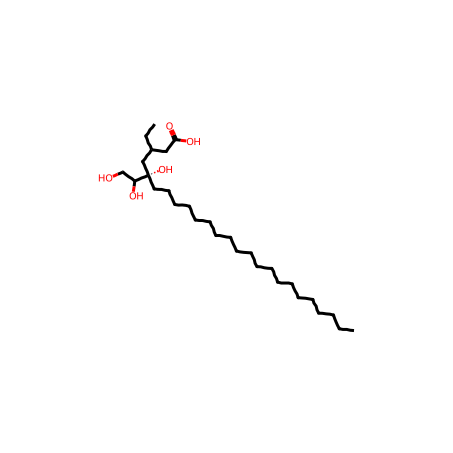 CCCCCCCCCCCCCCCCCCCC[C@](O)(CC(CC)CC(=O)O)C(O)CO